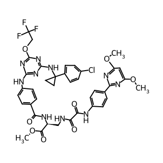 COC(=O)[C@H](CNC(=O)C(=O)Nc1ccc(-c2nc(OC)cc(OC)n2)cc1)NC(=O)c1ccc(Nc2nc(NC3(c4ccc(Cl)cc4)CC3)nc(OCC(F)(F)F)n2)cc1